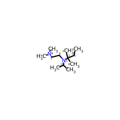 CCC(C)(C)N(CCN(C)C)C(C)C